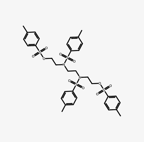 Cc1ccc(S(=O)(=O)OCCN(CCN(CCOS(=O)(=O)c2ccc(C)cc2)S(=O)(=O)c2ccc(C)cc2)S(=O)(=O)c2ccc(C)cc2)cc1